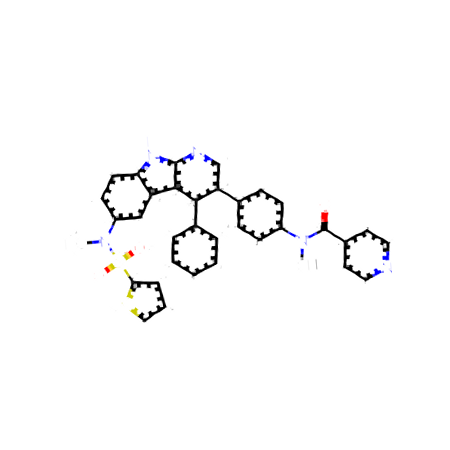 CN(C(=O)c1ccncc1)c1ccc(-c2cnc3[nH]c4ccc(N(C)S(=O)(=O)c5cccs5)cc4c3c2-c2ccccc2)cc1